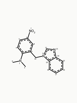 CN(C)c1ccc([N+](=O)[O-])cc1Cn1cnc2ccccc21